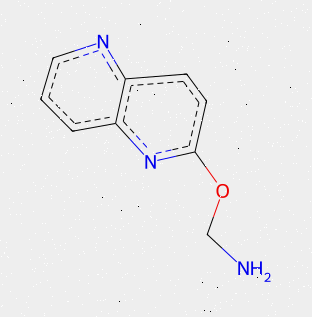 NCOc1ccc2ncccc2n1